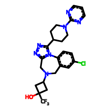 OC1(C(F)(F)F)CC(N2Cc3cc(Cl)ccc3-n3c(nnc3C3CCN(c4ncccn4)CC3)C2)C1